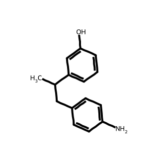 CC(Cc1ccc(N)cc1)c1cccc(O)c1